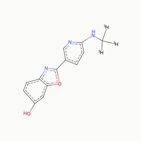 [3H]C([3H])([3H])Nc1ccc(-c2nc3ccc(O)cc3o2)cn1